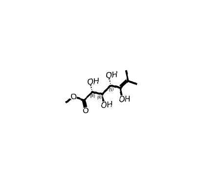 COC(=O)[C@H](O)[C@H](O)[C@H](O)C(O)=C(C)C